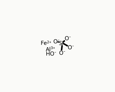 [Al+3].[Fe+2].[O-][Si]([O-])([O-])[O-].[OH-]